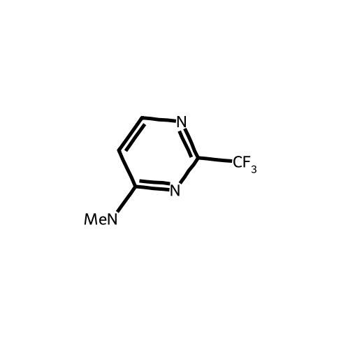 CNc1ccnc(C(F)(F)F)n1